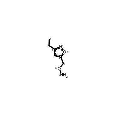 CCc1cc(CON)on1